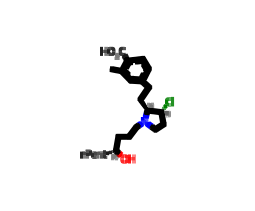 CCCCC[C@@H](O)CCCN1CC[C@@H](Cl)[C@@H]1CCc1ccc(C(=O)O)c(C)c1